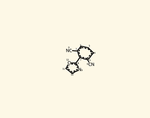 N#Cc1cccc(C#N)c1-c1n[c]co1